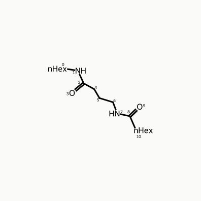 CCCCCCNC(=O)CCCNC(=O)CCCCCC